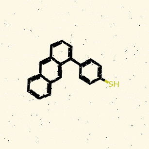 Sc1ccc(-c2cccc3cc4ccccc4cc23)cc1